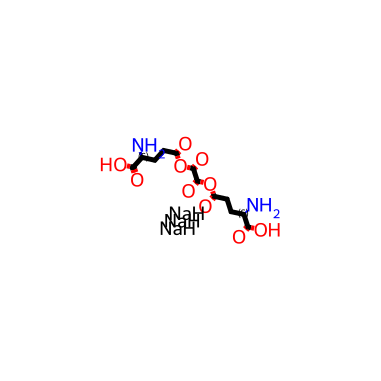 N[C@@H](CCC(=O)OC(=O)C(=O)OC(=O)CC[C@H](N)C(=O)O)C(=O)O.[NaH].[NaH].[NaH]